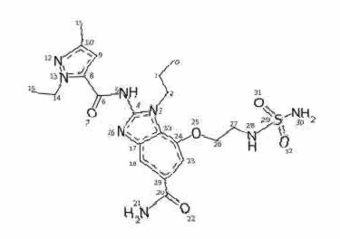 CCCn1c(NC(=O)c2cc(C)nn2CC)nc2cc(C(N)=O)cc(OCCNS(N)(=O)=O)c21